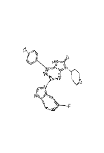 O=c1[nH]c2c(-c3ccc(Cl)cc3)nc(-n3cnc4ccc(F)cc43)nc2n1C1CCOCC1